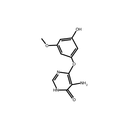 COc1cc(O)cc(Oc2nc[nH]c(=O)c2N)c1